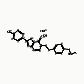 CNCc1ccc(CCn2cnc3cc(-c4ccc(Cl)cc4)sc3c2=O)cc1.Cl.Cl